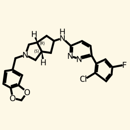 Fc1ccc(Cl)c(-c2ccc(NC3C[C@@H]4CN(Cc5ccc6c(c5)OCO6)C[C@@H]4C3)nn2)c1